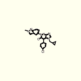 Cn1cc2cc(-n3nc4ncn(CC5CC5)c4c(-c4ccc(Cl)cc4)c3=O)ccc2n1